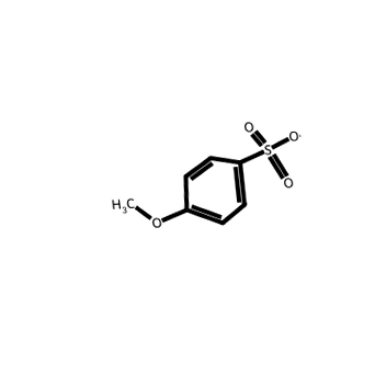 COc1ccc(S([O])(=O)=O)cc1